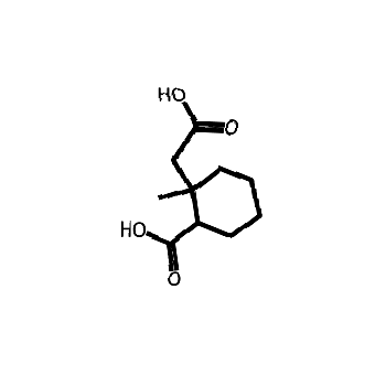 CC1(CC(=O)O)CCCCC1C(=O)O